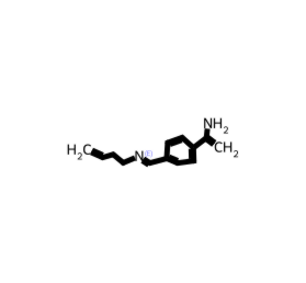 C=CCC/N=C/c1ccc(C(=C)N)cc1